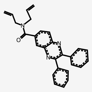 C=CCN(CC=C)C(=O)c1ccc2nc(-c3ccccc3)c(-c3ccccc3)nc2c1